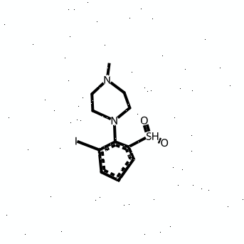 CN1CCN(c2c(I)cccc2[SH](=O)=O)CC1